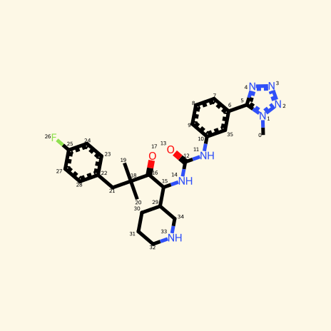 Cn1nnnc1-c1cccc(NC(=O)NC(C(=O)C(C)(C)Cc2ccc(F)cc2)C2CCCNC2)c1